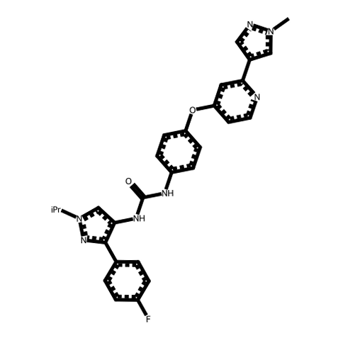 CC(C)n1cc(NC(=O)Nc2ccc(Oc3ccnc(-c4cnn(C)c4)c3)cc2)c(-c2ccc(F)cc2)n1